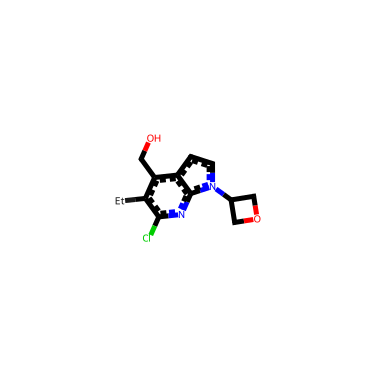 CCc1c(Cl)nc2c(ccn2C2COC2)c1CO